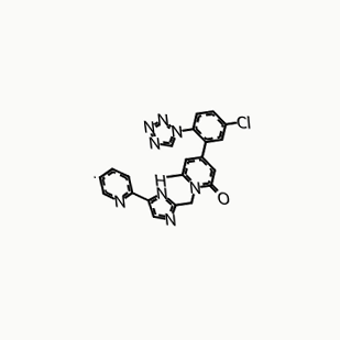 Cc1cc(-c2cc(Cl)ccc2-n2cnnn2)cc(=O)n1Cc1ncc(-c2cc[c]cn2)[nH]1